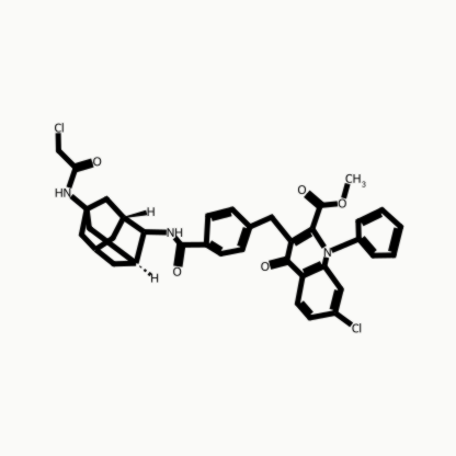 COC(=O)c1c(Cc2ccc(C(=O)NC3[C@@H]4CC5C[C@H]3CC(NC(=O)CCl)(C5)C4)cc2)c(=O)c2ccc(Cl)cc2n1-c1ccccc1